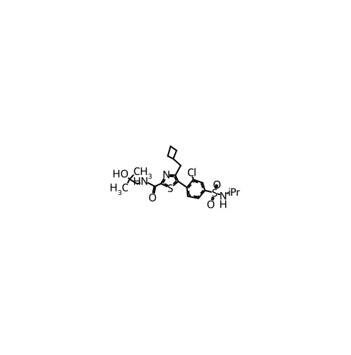 CC(C)NS(=O)(=O)c1ccc(-c2sc(C(=O)NCC(C)(C)O)nc2CC2CCC2)c(Cl)c1